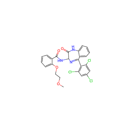 COCCOc1ccccc1C(=O)NC1N=C(c2c(Cl)cc(Cl)cc2Cl)c2ccccc2NC1=O